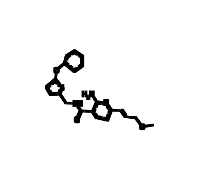 COCC=Cc1ccc(C(=O)NCc2ccc(Oc3ccccc3)s2)c(N)n1